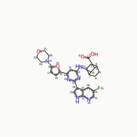 O=C(O)C1C2CCC(CC2)C1Nc1cc(-c2ccc(N3CCOCC3)o2)nc(-c2c[nH]c3ncc(F)cc23)n1